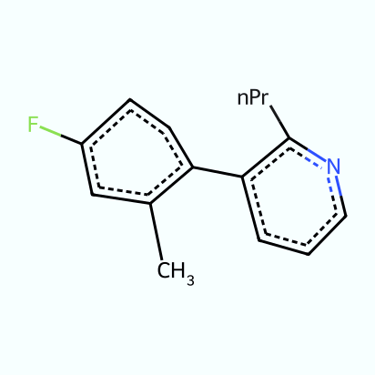 CCCc1ncccc1-c1ccc(F)cc1C